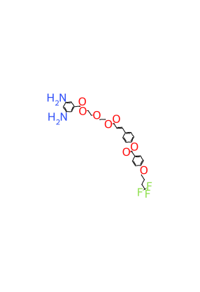 Nc1cc(N)cc(C(=O)OCCOCCOC(=O)C=Cc2ccc(OC(=O)c3ccc(OCCCC(F)(F)F)cc3)cc2)c1